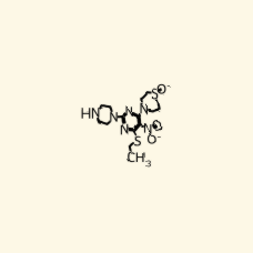 CCSc1nc(N2CCNCC2)nc(N2CC[S+]([O-])CC2)c1[N+](=O)[O-]